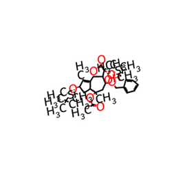 CC(=O)OC1(C)CC(OCc2ccccc2)C2(O)C(OC(=O)C2(C)O[Si](C)(C)C)C2=C(C)C(O[Si](C)(C)C(C)(C)C)CC21